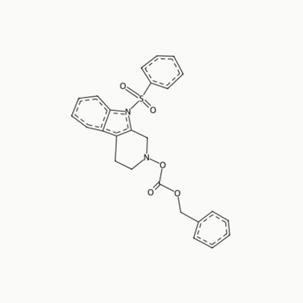 O=C(OCc1ccccc1)ON1CCc2c(n(S(=O)(=O)c3ccccc3)c3ccccc23)C1